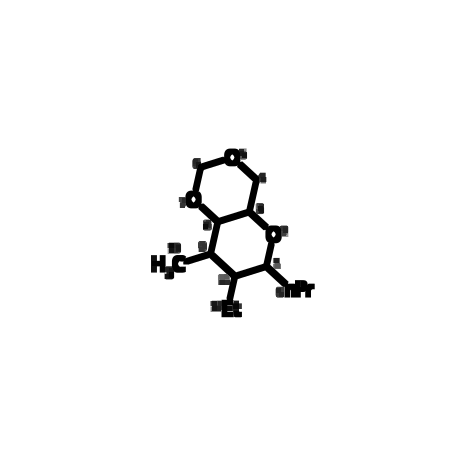 CCCC1OC2COCOC2C(C)C1CC